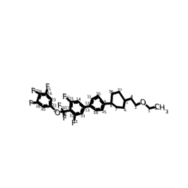 CCOCCC1CCC(c2ccc(-c3cc(F)c(C(F)(F)Oc4cc(F)c(F)c(F)c4)c(F)c3)cc2)CC1